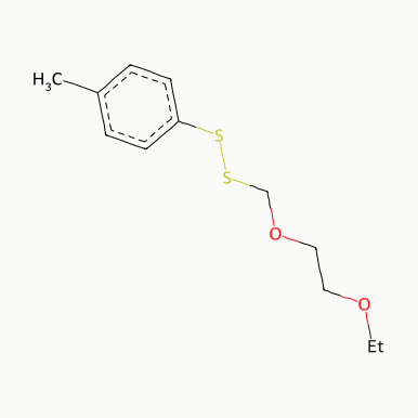 CCOCCOCSSc1ccc(C)cc1